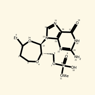 CCC1CCO[C@@H](COP(=O)(O)OC)[C@H](n2cnc3c(=O)[nH]c(N)nc32)O1